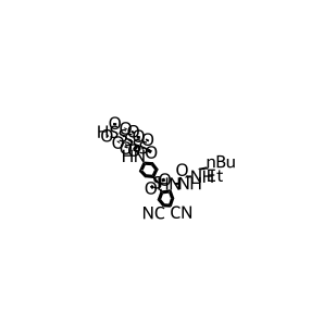 CCCCC(CC)CNC(=O)NNc1cc(C#N)c(C#N)cc1S(=O)(=O)c1ccc(NS(=O)(=O)S(=O)(=O)S(=O)(=O)S(=O)(=O)[SH](=O)=O)cc1